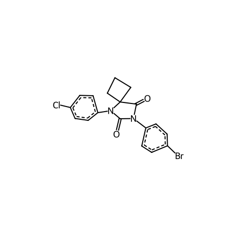 O=C1N(c2ccc(Br)cc2)C(=O)C2(CCC2)N1c1ccc(Cl)cc1